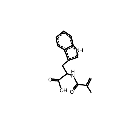 C=C(C)C(=O)NC(Cc1c[nH]c2ccccc12)C(=O)O